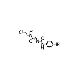 CC(C)c1ccc(NC(=O)/N=N/C(=O)NCCCl)cc1